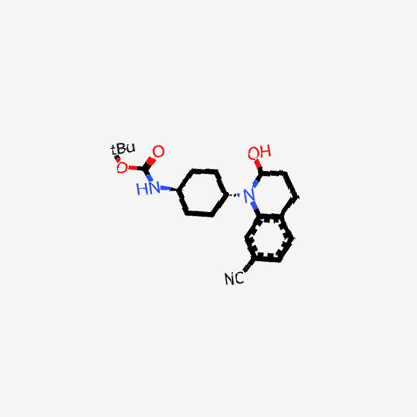 CC(C)(C)OC(=O)N[C@H]1CC[C@H](N2c3cc(C#N)ccc3CCC2O)CC1